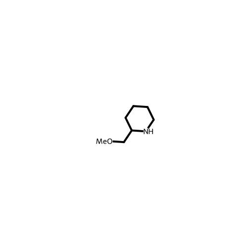 COCC1CCCCN1